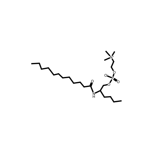 CCCCCCCCCCCC(=O)NC(CCCC)COP(=O)([O-])OCC[N+](C)(C)C